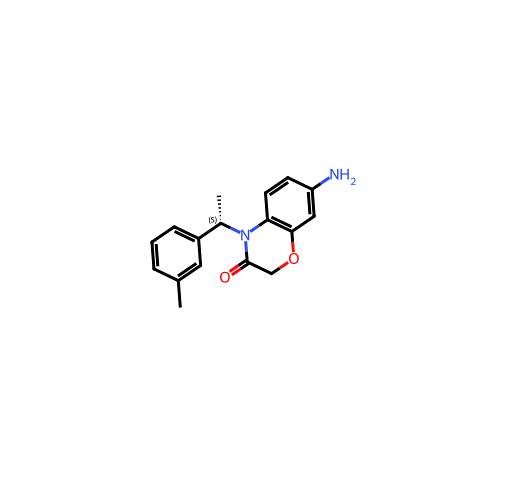 Cc1cccc([C@H](C)N2C(=O)COc3cc(N)ccc32)c1